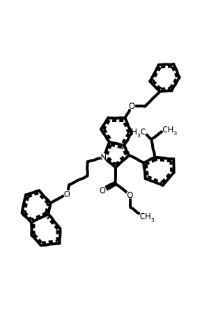 CCOC(=O)c1c(-c2ccccc2C(C)C)c2cc(OCc3ccccc3)ccc2n1CCCOc1cccc2ccccc12